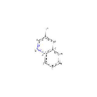 Cc1cnc2[c]cccc2c1